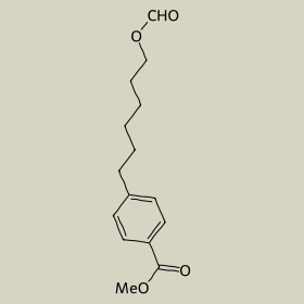 COC(=O)c1ccc(CCCCCCOC=O)cc1